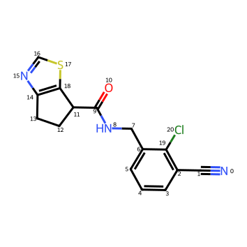 N#Cc1cccc(CNC(=O)C2CCc3ncsc32)c1Cl